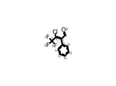 O=C/C(=C(\Cl)C(F)(F)F)c1ccccc1